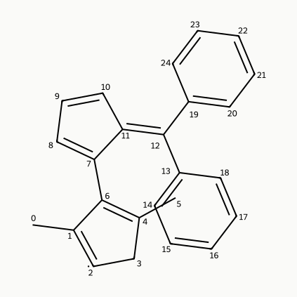 CC1=[C]CC(C)=C1C1=CC=CC1=C(c1ccccc1)c1ccccc1